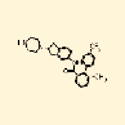 Cc1cccc(C(=O)Nc2ccc3c(c2)C[C@H](N2CCNCC2)C3)c1-c1ccc(C(F)(F)F)cc1